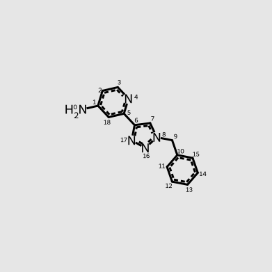 Nc1ccnc(-c2cn(Cc3ccccc3)nn2)c1